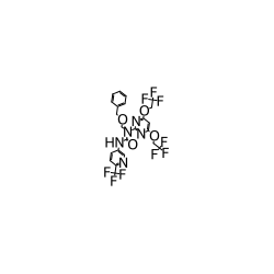 O=C(Nc1ccc(C(F)(F)F)nc1)N(COCc1ccccc1)c1nc(OCC(F)(F)F)cc(OCC(F)(F)F)n1